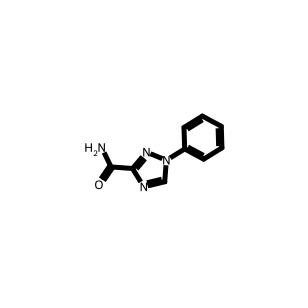 NC(=O)c1ncn(-c2ccccc2)n1